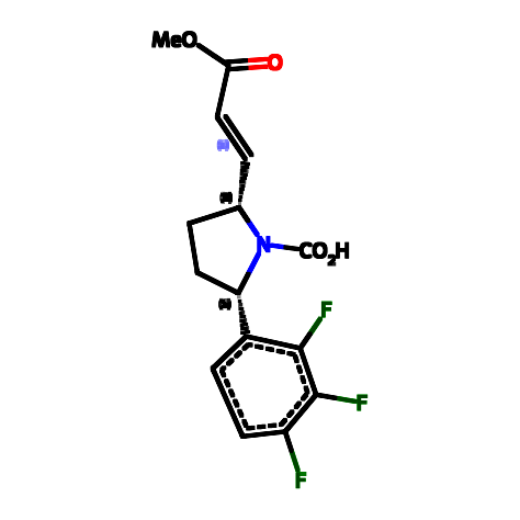 COC(=O)/C=C/[C@H]1CC[C@@H](c2ccc(F)c(F)c2F)N1C(=O)O